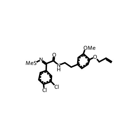 C=CCOc1ccc(CCNC(=O)/C(=N/SC)c2ccc(Cl)c(Cl)c2)cc1OC